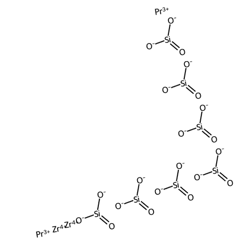 O=[Si]([O-])[O-].O=[Si]([O-])[O-].O=[Si]([O-])[O-].O=[Si]([O-])[O-].O=[Si]([O-])[O-].O=[Si]([O-])[O-].O=[Si]([O-])[O-].[Pr+3].[Pr+3].[Zr+4].[Zr+4]